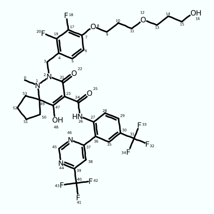 CN1N(Cc2ccc(OCCCOCCCO)c(F)c2F)C(=O)C(C(=O)Nc2ccc(C(F)(F)F)cc2-c2cc(C(F)(F)F)ncn2)=C(O)C12CCCC2